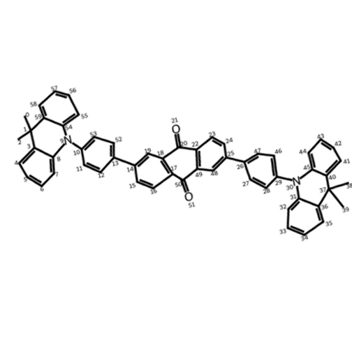 CC1(C)c2ccccc2N(c2ccc(-c3ccc4c(c3)C(=O)c3ccc(-c5ccc(N6c7ccccc7C(C)(C)c7ccccc76)cc5)cc3C4=O)cc2)c2ccccc21